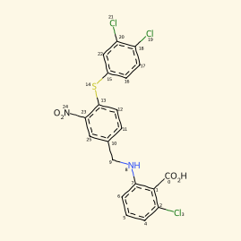 O=C(O)c1c(Cl)cccc1NCc1ccc(Sc2ccc(Cl)c(Cl)c2)c([N+](=O)[O-])c1